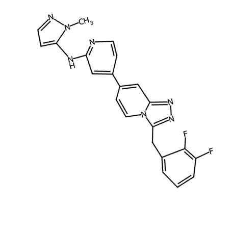 Cn1nccc1Nc1cc(-c2ccn3c(Cc4cccc(F)c4F)nnc3c2)ccn1